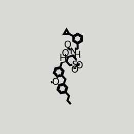 CCCc1cccc(Cc2cc(C[C@@H]3CS(=O)(=O)C[C@H]4[C@H]3OC(=O)N4Cc3cccc(C4CC4)c3)ccc2OC)c1